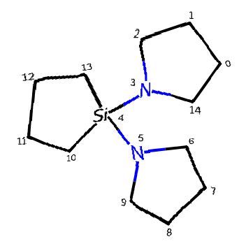 C1CCN([Si]2(N3CCCC3)CCCC2)C1